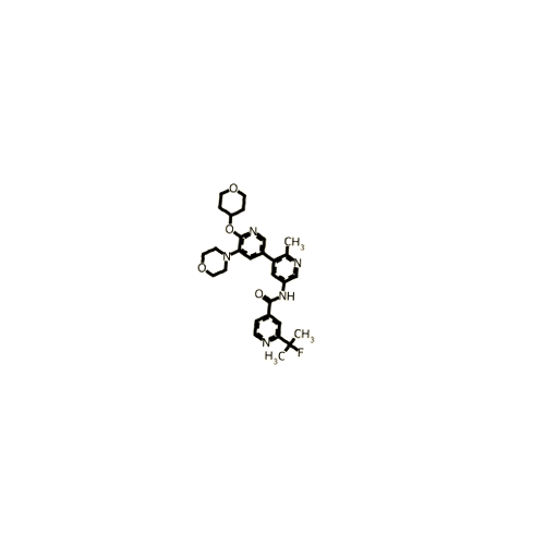 Cc1ncc(NC(=O)c2ccnc(C(C)(C)F)c2)cc1-c1cnc(OC2CCOCC2)c(N2CCOCC2)c1